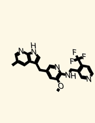 COc1cc(Cc2c[nH]c3ncc(C)cc23)cnc1NCc1cnccc1C(F)(F)F